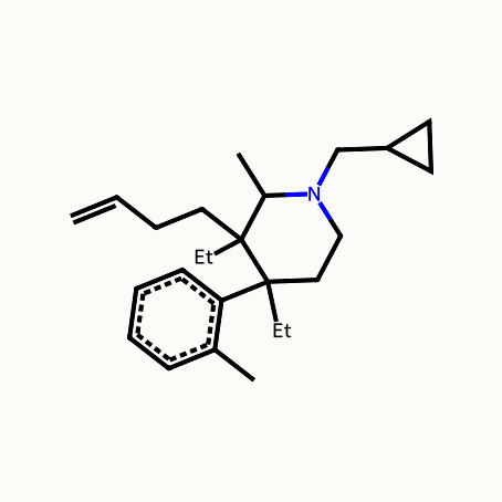 C=CCCC1(CC)C(C)N(CC2CC2)CCC1(CC)c1ccccc1C